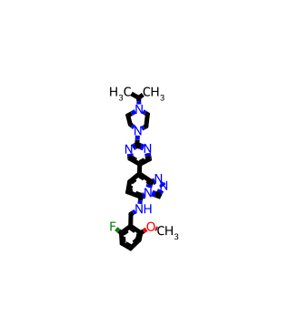 COc1cccc(F)c1CNc1ccc(-c2cnc(N3CCN(C(C)C)CC3)nc2)c2nncn12